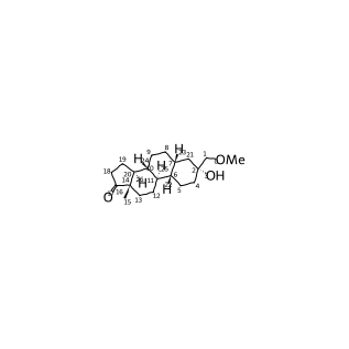 COC[C@@]1(O)CC[C@H]2[C@H](CC[C@@H]3[C@@H]2CC[C@]2(C)C(=O)CC[C@@H]32)C1